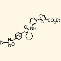 CCOC(=O)c1coc(-c2cccc(NC(=O)C3(CC45CCC(c6nc(C7CC7)no6)(CC4)CC5)CCCCC3)c2)n1